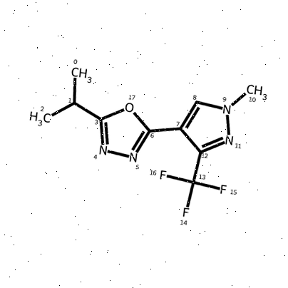 CC(C)c1nnc(-c2cn(C)nc2C(F)(F)F)o1